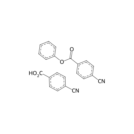 N#Cc1ccc(C(=O)O)cc1.N#Cc1ccc(C(=O)Oc2ccccc2)cc1